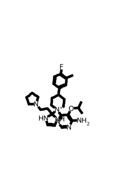 Cc1cc(C2CC[N+](c3ncnc(N)c3OC(C)C)(C3(CCN4CCCC4)NC=CN3)CC2)ccc1F